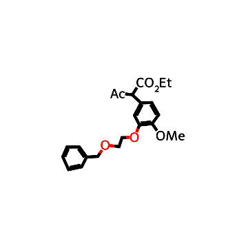 CCOC(=O)C(C(C)=O)c1ccc(OC)c(OCCOCc2ccccc2)c1